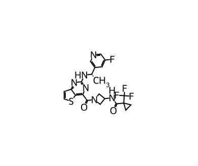 C[C@H](Nc1nc(C(=O)N2CC(NC(=O)C3(C(F)(F)F)CC3)C2)c2sccc2n1)c1cncc(F)c1